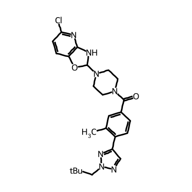 Cc1cc(C(=O)N2CCN(C3Nc4nc(Cl)ccc4O3)CC2)ccc1-c1cnn(CC(C)(C)C)n1